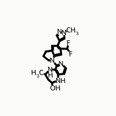 C[C@@H]1CC(O)Nc2ccnc(N3CCCc4cc(-c5cnn(C)c5)c(C(F)F)cc43)c2N1